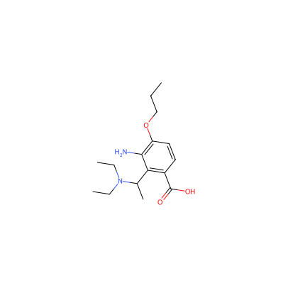 CCCOc1ccc(C(=O)O)c(C(C)N(CC)CC)c1N